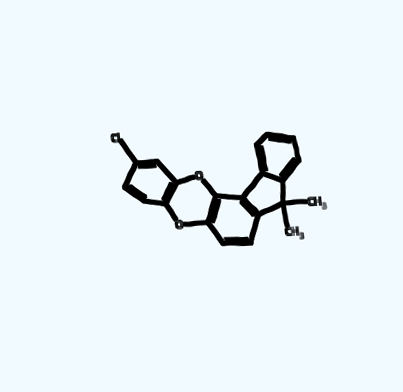 CC1(C)c2ccccc2-c2c1ccc1c2Oc2cc(Cl)ccc2O1